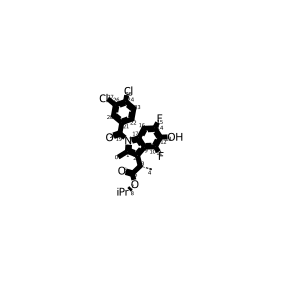 Cc1c([C@H](C)C(=O)OC(C)C)c2c(F)c(O)c(F)cc2n1C(=O)c1ccc(Cl)c(Cl)c1